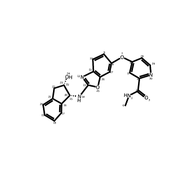 CNC(=O)c1cc(Oc2ccc3nc(N[C@@H]4c5ccccc5C[C@@H]4O)oc3c2)ccn1